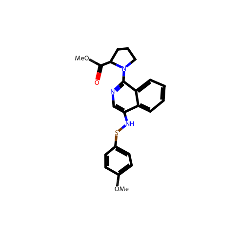 COC(=O)C1CCCN1c1ncc(NSc2ccc(OC)cc2)c2ccccc12